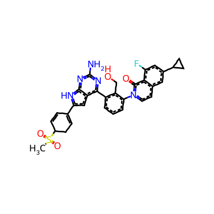 CS(=O)(=O)C1C=CC(c2cc3c(-c4cccc(-n5ccc6cc(C7CC7)cc(F)c6c5=O)c4CO)nc(N)nc3[nH]2)=CC1